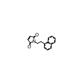 O=C1C=CC(=O)N1CCc1cccc2ccccc12